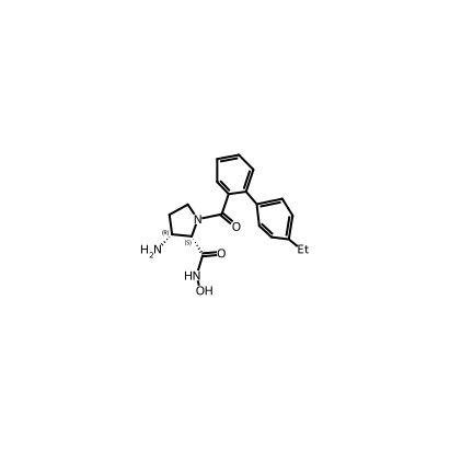 CCc1ccc(-c2ccccc2C(=O)N2CC[C@@H](N)[C@H]2C(=O)NO)cc1